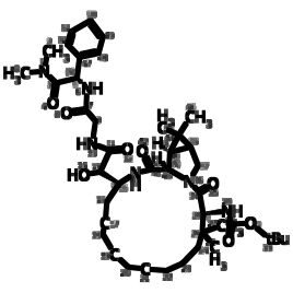 CN(C)C(=O)[C@@H](NC(=O)CNC(=O)C(O)[C@@H]1CCCCCCCCCC(C)(C)[C@H](NC(=O)OC(C)(C)C)C(=O)N2CC3[C@@H]([C@H]2C(=O)N1)C3(C)C)c1ccccc1